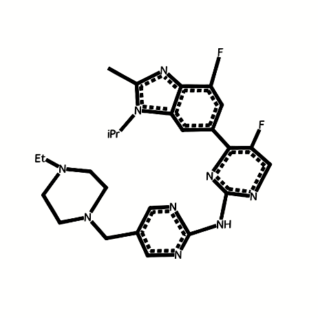 CCN1CCN(Cc2cnc(Nc3ncc(F)c(-c4cc(F)c5nc(C)n(C(C)C)c5c4)n3)nc2)CC1